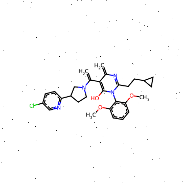 C=C1N=C(CCC2CC2)N(c2c(OC)cccc2OC)C(O)=C1C(=C)N1CCC(c2ccc(Cl)cn2)C1